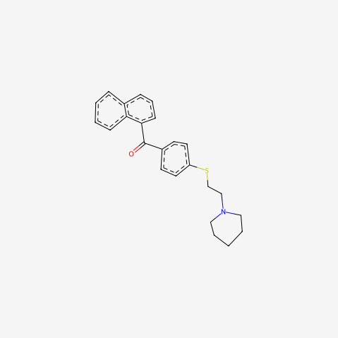 O=C(c1ccc(SCCN2CCCCC2)cc1)c1cccc2ccccc12